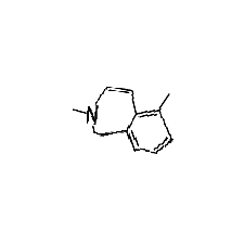 Cc1cccc2c1C=CN(C)C2